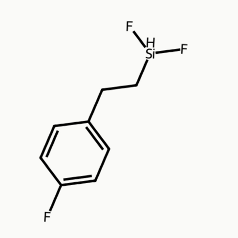 Fc1ccc(CC[SiH](F)F)cc1